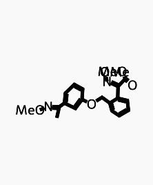 CON=C(C(=O)OC)c1ccccc1COc1cccc(/C(C)=N/OC)c1